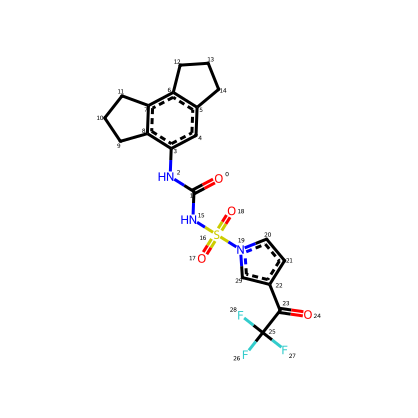 O=C(Nc1cc2c(c3c1CCC3)CCC2)NS(=O)(=O)n1ccc(C(=O)C(F)(F)F)c1